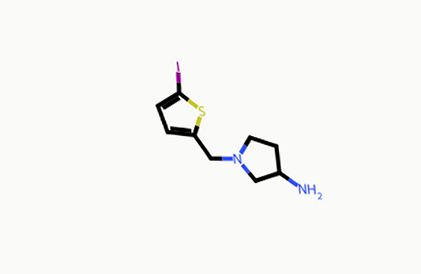 NC1CCN(Cc2ccc(I)s2)C1